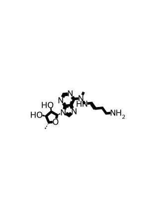 C[C@H]1O[C@@H](n2cnc3c(N(C)NC=CCCN)ncnc32)[C@H](O)[C@@H]1O